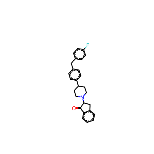 O=C1c2ccccc2CC1N1CCC(c2ccc(Cc3ccc(F)cc3)cc2)CC1